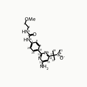 COCCNC(=O)Nc1ccc(-c2nc(N)cc(C(C)(C)[S+](C)[O-])n2)cc1